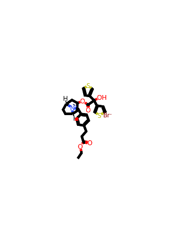 CCOC(=O)CCc1ccc(C[N+]2(C)[C@@H]3CC[C@H]2CC(OC(=O)C(O)(c2ccsc2)c2ccsc2)C3)cc1.[Br-]